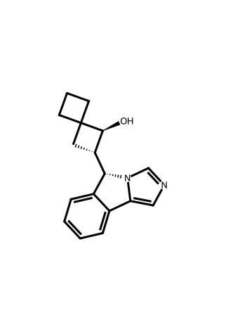 O[C@H]1[C@H]([C@H]2c3ccccc3-c3cncn32)CC12CCC2